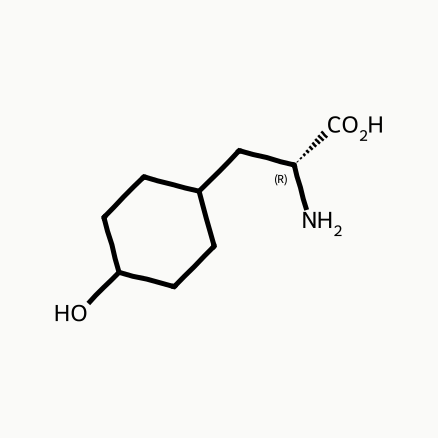 N[C@H](CC1CCC(O)CC1)C(=O)O